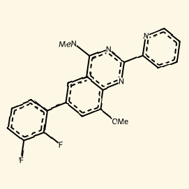 CNc1nc(-c2ccccn2)nc2c(OC)cc(-c3cccc(F)c3F)cc12